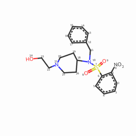 O=[N+]([O-])c1ccccc1S(=O)(=O)N(Cc1ccccc1)C1CCN(CCO)CC1